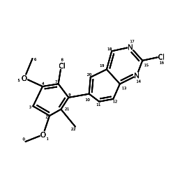 COc1cc(OC)c(Cl)c(-c2ccc3nc(Cl)ncc3c2)c1C